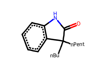 CCCCCC1(CCCC)C(=O)Nc2ccccc21